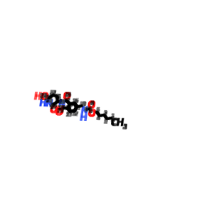 CCCCCCOC(=O)NCc1ccc2c(c1)C(=O)N(C1CCC(O)NC1O)C2=O